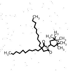 CCCCCCCCCCC1(CCCCCCCCCC)CC(=O)N(C2CC(C)(C)N(C)C(C)(C)C2)C1=O